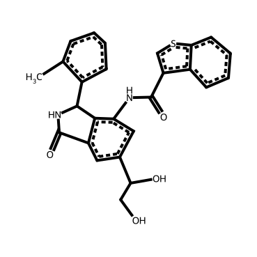 Cc1ccccc1C1NC(=O)c2cc(C(O)CO)cc(NC(=O)c3csc4ccccc34)c21